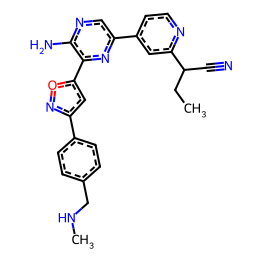 CCC(C#N)c1cc(-c2cnc(N)c(-c3cc(-c4ccc(CNC)cc4)no3)n2)ccn1